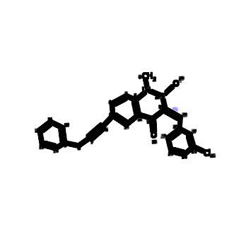 CN1c2ccc(C#CCc3ccccc3)cc2C(=O)/C(=C\c2cccc(Cl)c2)[S+]1[O-]